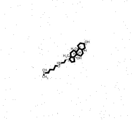 CN(C)CCCCONCC[C@H]1CC[C@]2(O)[C@@H]3CC[C@@H]4C[C@@H](O)CC[C@]4(C)[C@H]3CC[C@]12C